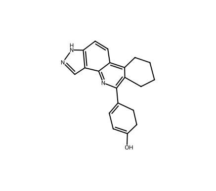 OC1=CC=C(c2nc3c(ccc4[nH]ncc43)c3c2CCCC3)CC1